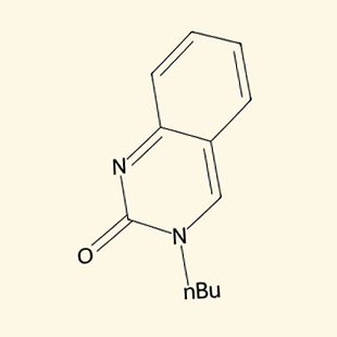 CCCCn1cc2ccccc2nc1=O